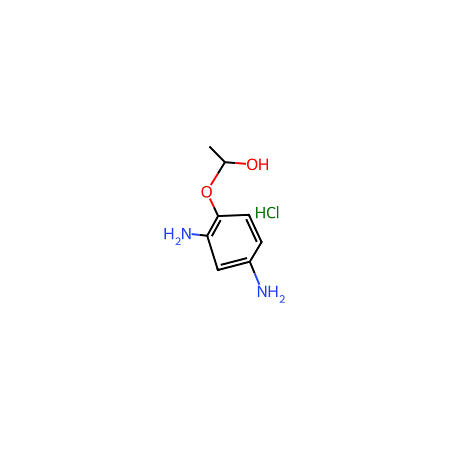 CC(O)Oc1ccc(N)cc1N.Cl